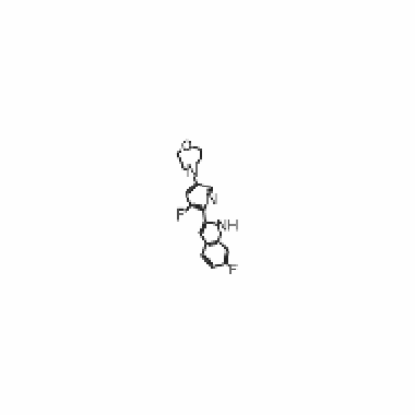 Fc1ccc2cc(-c3ncc(N4CCOCC4)cc3F)[nH]c2c1